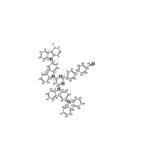 C[C@@H]1CC=Cc2c1c1ccccc1n2-c1ccc2c(c1)c1ccccc1n2-c1cc(-n2c3ccccc3c3cc(-n4c5ccccc5c5ccccc54)ccc32)nc(-c2ccc(-c3ccc(C#N)cc3)cc2)n1